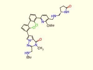 COc1nc(-c2cccc(-c3cccc(-c4cc5c(=O)n(C)c(CNC(C)(C)C)nn5c4)c3Cl)c2Cl)ccc1CNC[C@H]1CCC(=O)N1